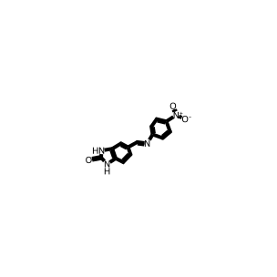 O=c1[nH]c2ccc(/C=N/c3ccc([N+](=O)[O-])cc3)cc2[nH]1